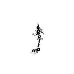 CCc1cc2c(cc1N1CCC(NC(=O)COCCOCCSc3cccc4c3CN(C3CCC(=O)NC3=O)C4=O)CC1)C(C)(C)c1[nH]c3cc(C#N)ccc3c1C2=O